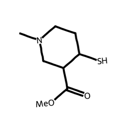 COC(=O)C1CN(C)CCC1S